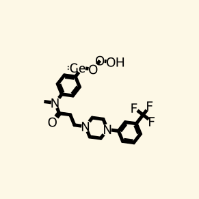 CN(C(=O)CCN1CCN(c2cccc(C(F)(F)F)c2)CC1)c1cc[c]([Ge][O]OO)cc1